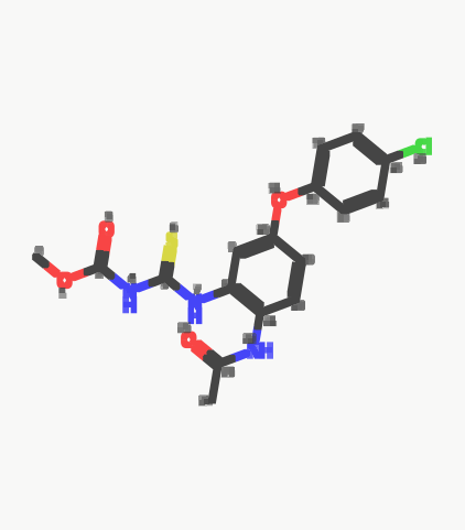 COC(=O)NC(=S)Nc1cc(Oc2ccc(Cl)cc2)ccc1NC(C)=O